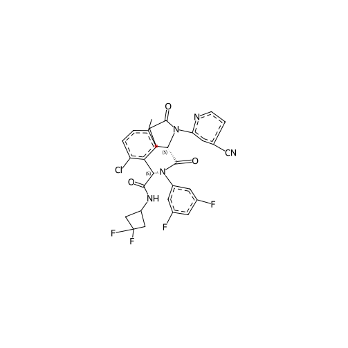 Cc1ccc(Cl)c([C@@H](C(=O)NC2CC(F)(F)C2)N(C(=O)[C@@H]2CCC(=O)N2c2cc(C#N)ccn2)c2cc(F)cc(F)c2)c1